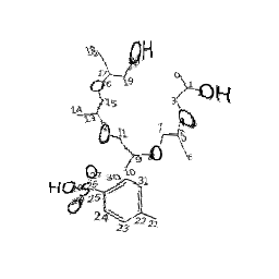 CC(O)COC(C)COC(C)COC(C)COC(C)CO.Cc1ccc(S(=O)(=O)O)cc1